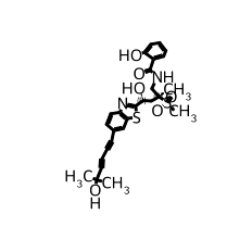 CC(C)(O)C#CC#Cc1ccc2nc([C@H](O)C[C@](C)(CNC(=O)c3ccccc3O)S(C)(=O)=O)sc2c1